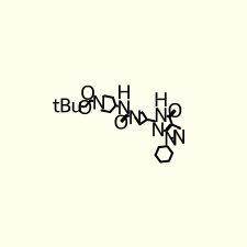 CC(C)(C)OC(=O)N1CCC(NC(=O)N2CC(c3nc4c(cnn4C4CCCCC4)c(=O)[nH]3)C2)CC1